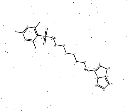 Cc1cc(C)c(S(=O)(=O)NCCCCCCNc2nsc3nccn23)c(C)c1